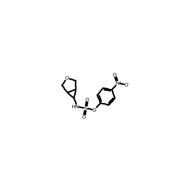 O=[N+]([O-])c1ccc(OS(=O)(=O)NC2C3COCC32)cc1